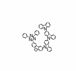 c1ccc(-c2nc(-c3ccccc3)nc(-c3ccc4oc5ccc(-n6c7ccccc7c7cc(-n8c9ccccc9c9cc(-n%10c%11ccccc%11c%11ccccc%11%10)ccc98)ccc76)cc5c4c3)n2)cc1